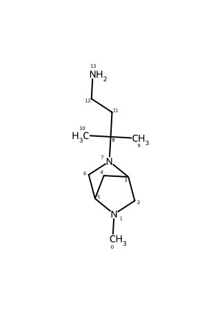 CN1CC2CC1CN2C(C)(C)CCN